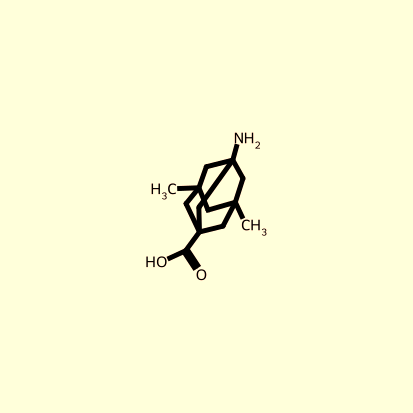 CC12CC3(C)CC(N)(C1)CC(C(=O)O)(C2)C3